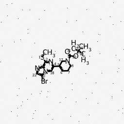 CSc1nc(C2=CCCN(C(=O)OC(C)(C)C)C2)cn2c(Br)cnc12